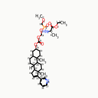 CCOC(=O)[C@H](C)NP(=O)(COC)OCOC(=O)O[C@H]1CC[C@@]2(C)C(CC[C@@H]3C2CC[C@]2(C)C(c4cccnc4)=CCC32)C1